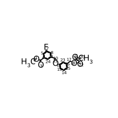 COC(=O)c1cc(F)cc(COc2cccc(COS(C)(=O)=O)c2)c1